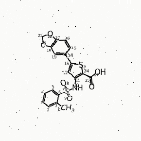 Cc1ccccc1S(=O)(=O)Nc1cc(-c2ccc3c(c2)OCO3)sc1C(=O)O